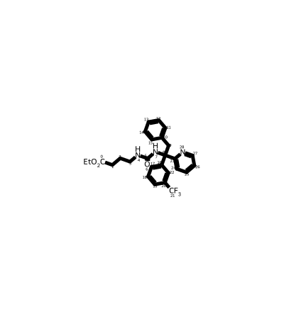 CCOC(=O)CCCNC(=O)NC(Cc1ccccc1)(c1cccc(C(F)(F)F)c1)c1ccccn1